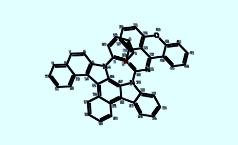 c1ccc(-n2c3ccc4ccccc4c3c3c4ccccc4c4c5ccccc5n(-c5nc6c7c(cccc7n5)Oc5ccccc5-6)c4c32)cc1